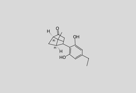 CCc1cc(O)c(C2CC(=O)[C@@H]3C[C@H]2C3(C)C)c(O)c1